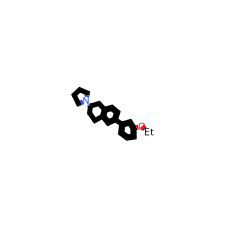 CCOc1cccc(-c2ccc3c(c2)CCC(N2CCCC2)C3)c1